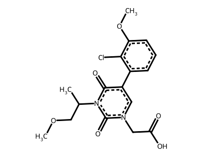 COCC(C)n1c(=O)c(-c2cccc(OC)c2Cl)cn(CC(=O)O)c1=O